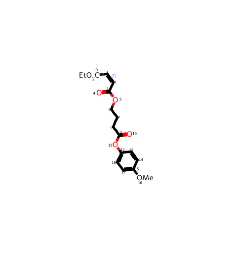 CCOC(=O)/C=C\C(=O)OCCCC(=O)Oc1ccc(OC)cc1